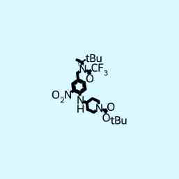 C[C@H](N(Cc1ccc(NC2CCN(C(=O)OC(C)(C)C)CC2)c([N+](=O)[O-])c1)C(=O)C(F)(F)F)C(C)(C)C